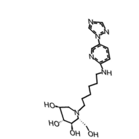 OC[C@@H]1[C@@H](O)[C@H](O)[C@@H](O)CN1CCCCCCNc1ccc(-n2cncn2)cn1